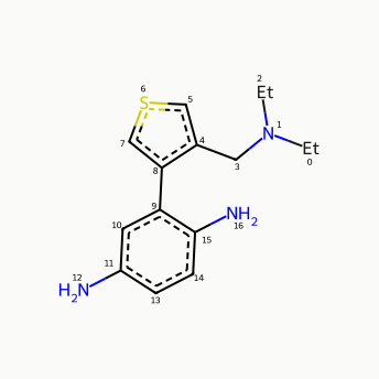 CCN(CC)Cc1cscc1-c1cc(N)ccc1N